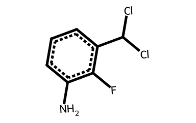 Nc1cccc(C(Cl)Cl)c1F